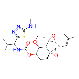 CNc1nnc(C(NC(=O)O[C@@H]2CC[C@]3(CO3)C([C@@]3(C)O[C@@H]3CC=C(C)C)[C@@H]2OC)C(C)C)s1